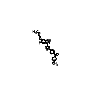 COCCOc1cc2[nH]nc(-c3cn(-c4ccc(C(=O)N5CCN(C)CC5)cc4)nn3)c2cc1F